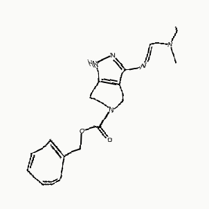 CN(C)/C=N/c1n[nH]c2c1CN(C(=O)OCc1ccccc1)C2